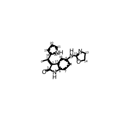 CC(=C1C(=O)Nc2ccc(NC3=NCCO3)cc21)c1ccc[nH]1